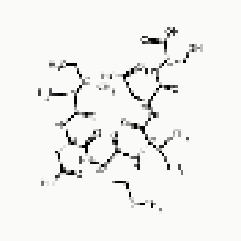 CC[C@H](C)[C@H](N)C(=O)N[C@@H](CC(=O)O)C(=O)N[C@@H](CCSC)C(=O)N[C@H](C(=O)N[C@@H](CC(=O)O)C(=O)N[C@@H](CO)C(=O)O)C(C)C